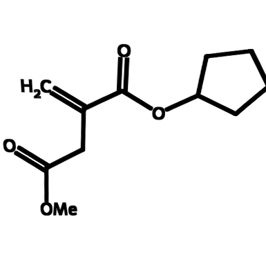 C=C(CC(=O)OC)C(=O)OC1CCCC1